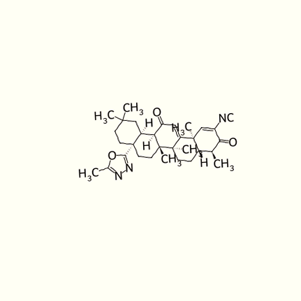 [C-]#[N+]C1=C[C@]2(C)C3=CC(=O)[C@@H]4[C@@H]5CC(C)(C)CC[C@]5(c5nnc(C)o5)CC[C@@]4(C)[C@]3(C)CC[C@H]2[C@H](C)C1=O